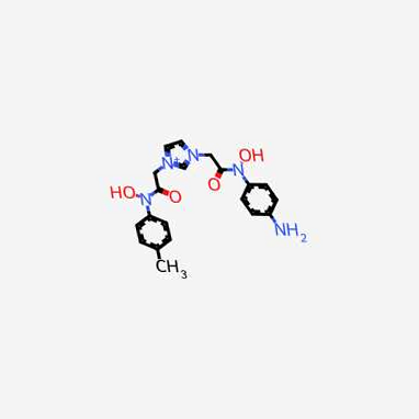 Cc1ccc(N(O)C(=O)C[n+]2ccn(CC(=O)N(O)c3ccc(N)cc3)c2)cc1